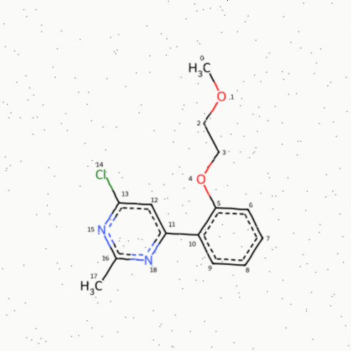 COCCOc1ccccc1-c1cc(Cl)nc(C)n1